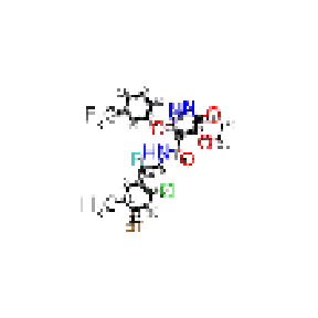 CC1CC([C@@H](F)CNC(=O)c2c(Oc3cccc(C(F)(F)F)c3)nnc3c2OCCO3)=C(Cl)C=C1Br